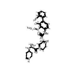 CC(C)(C)[C@H](NC1CCNCC1)C(=O)N1CCN[C@@H](C(=O)Nc2ccc(-c3ccccc3F)c(Cl)c2OC(=O)O)C1